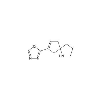 C1=C(c2nnco2)CC2(C1)CCCN2